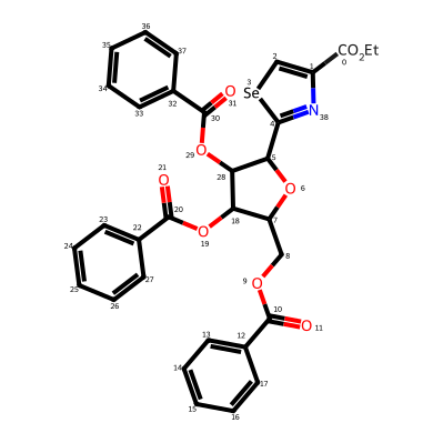 CCOC(=O)c1c[se]c(C2OC(COC(=O)c3ccccc3)C(OC(=O)c3ccccc3)C2OC(=O)c2ccccc2)n1